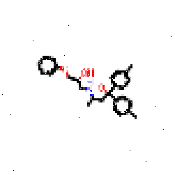 Cc1ccc(C(O)(CC(C)NC[C@H](O)COc2ccccc2)c2ccc(C)cc2)cc1